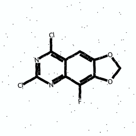 Fc1c2c(cc3c(Cl)nc(Cl)nc13)OCO2